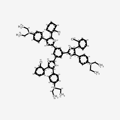 CCN(CC)c1ccc(-c2nc(-c3cc(-c4nc(-c5ccc(N(CC)CC)cc5)c(-c5ccccc5Cl)o4)cc(-c4nc(-c5ccc(N(CC)CC)cc5)c(-c5ccccc5Cl)o4)c3)oc2-c2ccccc2Cl)cc1